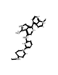 CNC1CCN(c2cccc(Nc3cnc(-c4ccnc5c4ccn5C)c4c3C(O)NC4)n2)CC1